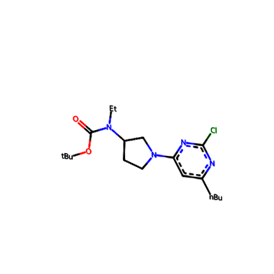 CCCCc1cc(N2CCC(N(CC)C(=O)OC(C)(C)C)C2)nc(Cl)n1